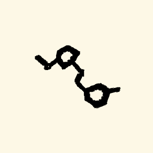 COc1cccc(/N=C/c2cccc(C)c2)c1